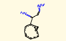 N=CC(=N)c1ccccc1